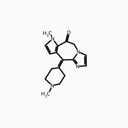 CN1CCC(=C2c3ccn(C)c3C(=O)Cn3ccnc32)CC1